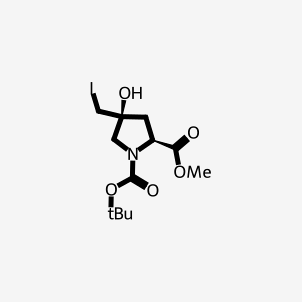 COC(=O)[C@@H]1C[C@@](O)(CI)CN1C(=O)OC(C)(C)C